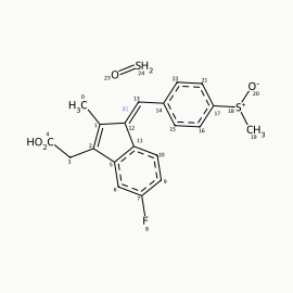 CC1=C(CC(=O)O)c2cc(F)ccc2/C1=C\c1ccc([S+](C)[O-])cc1.O=[SH2]